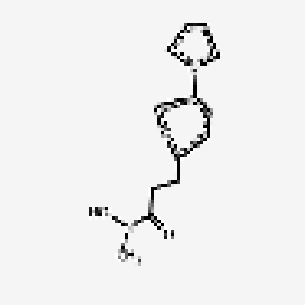 CN(O)C(=O)CCc1ccc(-n2cccc2)cc1